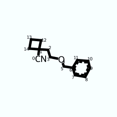 N#CC1(CCOCc2ccccc2)CCC1